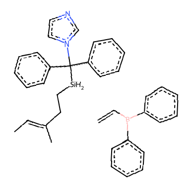 C=CB(c1ccccc1)c1ccccc1.CC=C(C)CC[SiH2]C(c1ccccc1)(c1ccccc1)n1ccnc1